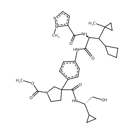 COC(=O)N1CCC(C(=O)N[C@H](CO)C2CC2)(c2ccc(NC(=O)[C@@H](NC(=O)c3ccnn3C)C(C3CCC3)C3(C)CC3)cc2)C1